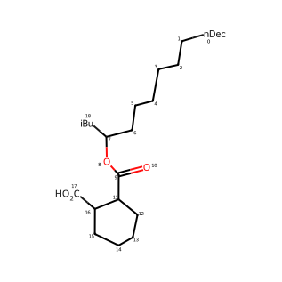 CCCCCCCCCCCCCCCCC(OC(=O)C1CCCCC1C(=O)O)C(C)CC